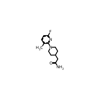 Cc1ccc(F)nc1N1CCC(CC(N)=O)CC1